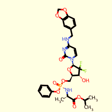 CC(C)OC(=O)[C@H](C)N[P@](=O)(OC[C@H]1O[C@@H](n2ccc(NCc3ccc4c(c3)OCO4)nc2=O)C(F)(F)[C@@H]1O)Oc1ccccc1